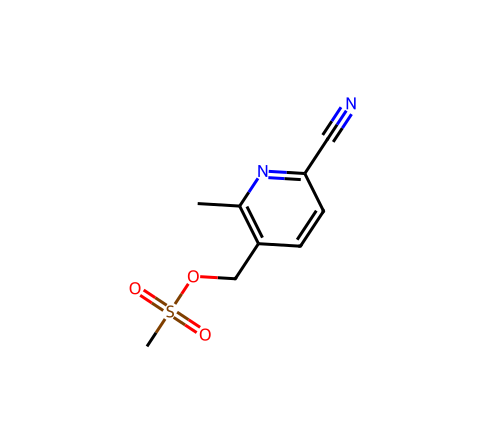 Cc1nc(C#N)ccc1COS(C)(=O)=O